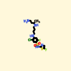 C[C@H](CCN)NCCCCNc1cc(F)c(S(=O)(=O)Nc2ncc(F)s2)cc1Cl